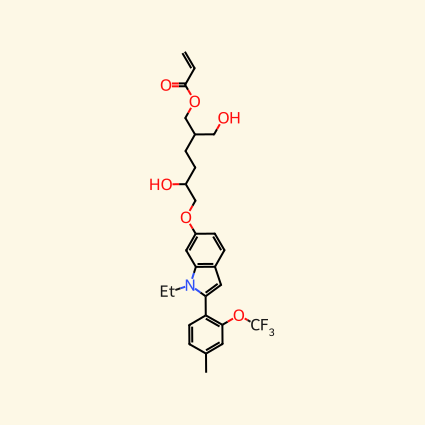 C=CC(=O)OCC(CO)CCC(O)COc1ccc2cc(-c3ccc(C)cc3OC(F)(F)F)n(CC)c2c1